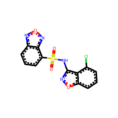 O=S(=O)(Nc1noc2cccc(Cl)c12)c1cccc2nonc12